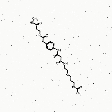 CNC(=O)CCNC(=O)Cc1ccc(NC(=O)CC(=O)NCCOCCCNC(C)=O)cc1